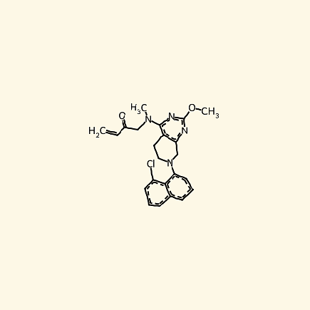 C=CC(=O)CN(C)c1nc(OC)nc2c1CCN(c1cccc3cccc(Cl)c13)C2